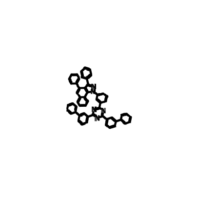 c1ccc(-c2cccc(-c3nc(-c4cccc(-c5ccccc5)c4)nc(-c4cccc(-n5nc(-c6ccccc6)c6c(-c7ccccc7)cc7ccccc7c65)c4)n3)c2)cc1